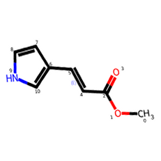 COC(=O)/C=C/c1cc[nH]c1